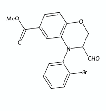 COC(=O)c1ccc2c(c1)N(c1ccccc1Br)C(C=O)CO2